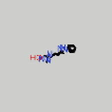 CN(C)C(/C=N/O)=N\CCCc1cn(-c2ccccc2)nn1